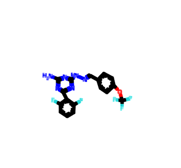 Nc1nc(NN=Cc2ccc(OC(F)(F)F)cc2)nc(-c2c(F)cccc2F)n1